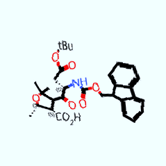 C[C@@H]1OC(C)(C)C(C(=O)[C@H](CC(=O)OC(C)(C)C)NC(=O)OCC2c3ccccc3-c3ccccc32)[C@@H]1C(=O)O